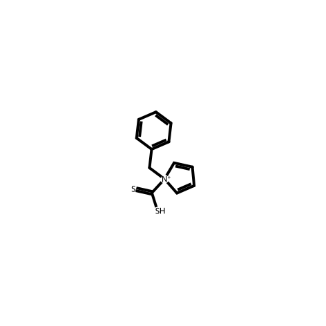 S=C(S)[N+]1(Cc2ccccc2)C=CC=C1